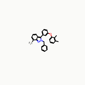 Cc1cccc(Oc2cccc(-c3c4cccc(C(F)(F)F)c4nn3Cc3ccccc3)c2)c1C